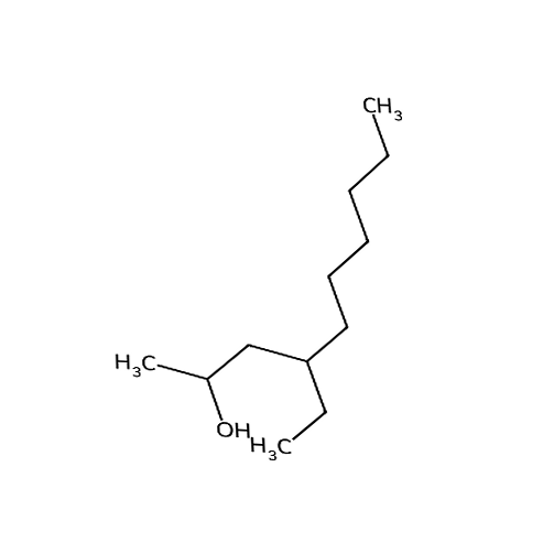 CCCCCCC(CC)CC(C)O